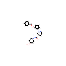 O=C(NC1CCC(O)CC1)[C@H]1CCCN(c2cccc(OCc3ccccc3)c2)C1